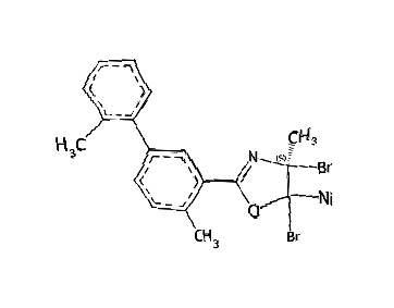 Cc1ccc(-c2ccccc2C)cc1C1=N[C@@](C)(Br)[C]([Ni])(Br)O1